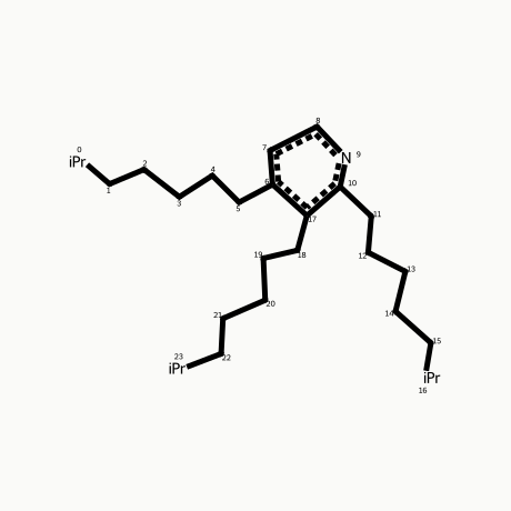 CC(C)CCCCCc1ccnc(CCCCCC(C)C)c1CCCCCC(C)C